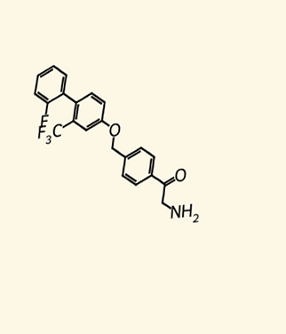 NCC(=O)c1ccc(COc2ccc(-c3ccccc3F)c(C(F)(F)F)c2)cc1